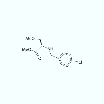 COC[C@@H](NCc1ccc(Cl)cc1)C(=O)OC